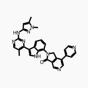 Cc1cnc(Nc2cc(C)n(C)n2)nc1-c1c[nH]c2c(N3Cc4c(cncc4-c4ccncc4)C3=O)cccc12